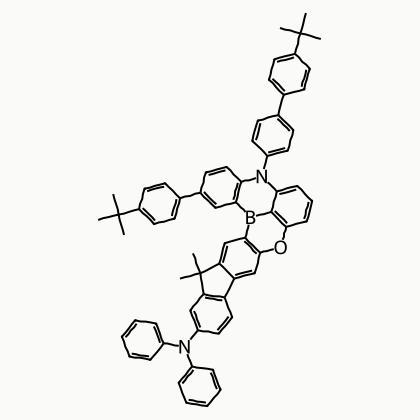 CC(C)(C)c1ccc(-c2ccc(N3c4ccc(-c5ccc(C(C)(C)C)cc5)cc4B4c5cc6c(cc5Oc5cccc3c54)-c3ccc(N(c4ccccc4)c4ccccc4)cc3C6(C)C)cc2)cc1